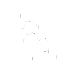 C[C@@H]1CN(c2ncc(F)cc2F)CCN1S